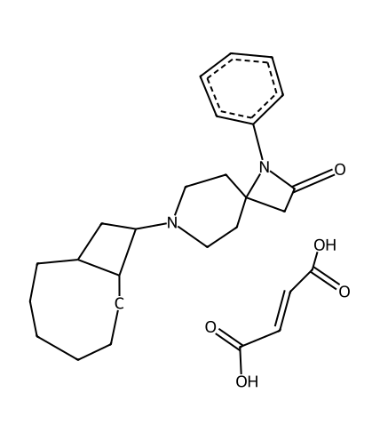 O=C(O)C=CC(=O)O.O=C1CC2(CCN(C3CC4CCCCCCC43)CC2)N1c1ccccc1